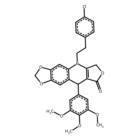 COc1cc(C2C3=C(COC3=O)N(CCc3ccc(Cl)cc3)c3cc4c(cc32)OCO4)cc(OC)c1OC